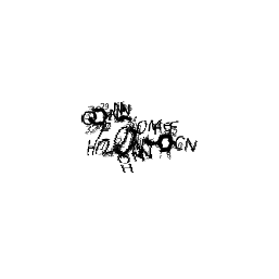 CO[C@@H]1[C@@H](n2cc(-c3ccc(C#N)c(F)c3F)nn2)[C@@H](O)[C@@H](CO)O[C@@H]1Cc1cn([C@H]2CCOC[C@@H]2F)nn1